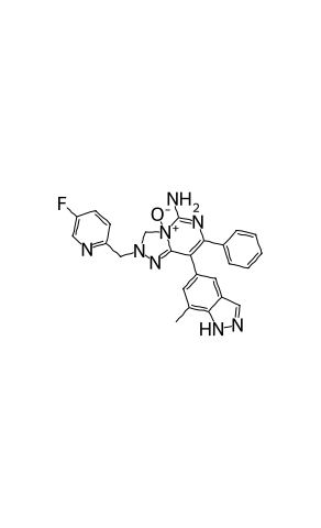 Cc1cc(C2=C(c3ccccc3)N=C(N)[N+]3([O-])CN(Cc4ccc(F)cn4)N=C23)cc2cn[nH]c12